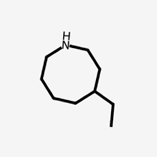 CCC1CCCCNCC1